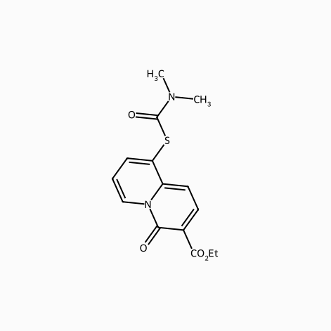 CCOC(=O)c1ccc2c(SC(=O)N(C)C)cccn2c1=O